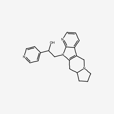 OC(Cn1c2c(c3cccnc31)CN1CCCC1C2)c1ccncc1